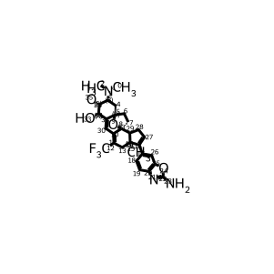 CN(C)[C@H]1C[C@@]23CC[C@@]4(O2)C(=C(C(F)(F)F)C[C@]2(C)C(c5ccc6nc(N)oc6c5)=CCC24)C=C3[C@@H](O)[C@@H]1O